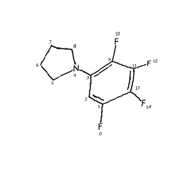 Fc1cc(N2CCCC2)c(F)c(F)c1F